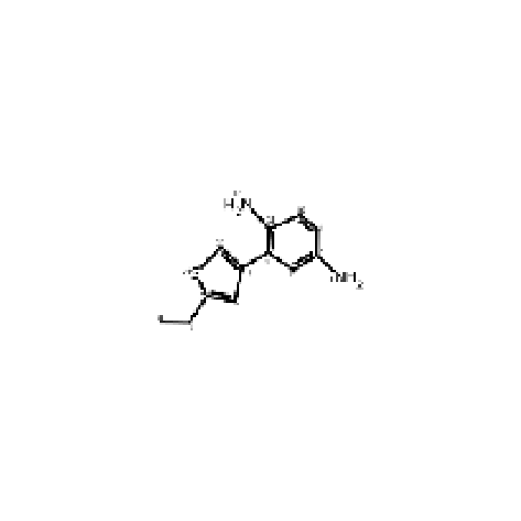 CCc1cc(-c2cc(N)ccc2N)cs1